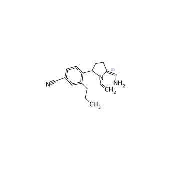 C=CN1/C(=C\N)CCC1c1ccc(C#N)cc1CCC